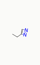 CCC1=CN=N1